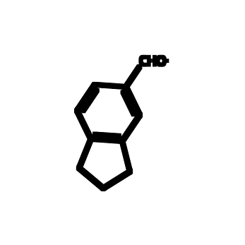 O=[C]c1ccc2c(c1)CCC2